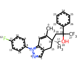 CC1=Cc2c(cnn2-c2ccc(F)cc2)C[C@]1(C)CC(O)(c1ccccc1)C(F)(F)F